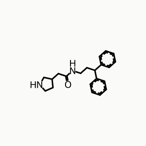 O=C(CC1CCNC1)NCCC(c1ccccc1)c1ccccc1